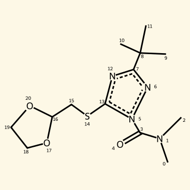 CN(C)C(=O)n1nc(C(C)(C)C)nc1SCC1OCCO1